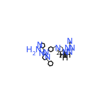 [2H]C([2H])([2H])N(c1ncnc(C#N)n1)C1CCN(Cc2ccc(-n3c(-c4cccnc4N)nc4ccc(-c5ccccc5)nc43)cc2)CC1